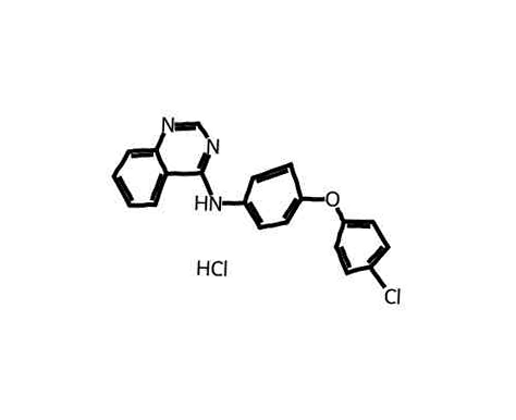 Cl.Clc1ccc(Oc2ccc(Nc3ncnc4ccccc34)cc2)cc1